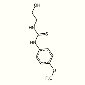 OCCNC(=S)Nc1ccc(OC(F)(F)F)cc1